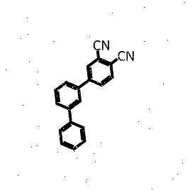 N#Cc1ccc(-c2cccc(-c3ccccc3)c2)cc1C#N